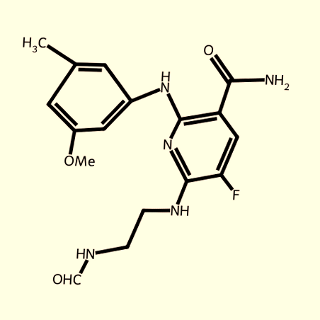 COc1cc(C)cc(Nc2nc(NCCNC=O)c(F)cc2C(N)=O)c1